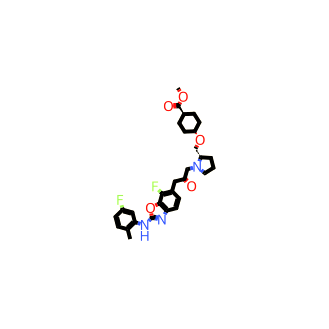 COC(=O)[C@H]1CC[C@H](OC[C@@H]2CCCN2CC(=O)Cc2ccc3nc(Nc4cc(F)ccc4C)oc3c2F)CC1